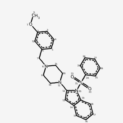 COc1cccc(CN2CCN(c3cc4ccccc4n3S(=O)(=O)c3ccccc3)CC2)c1